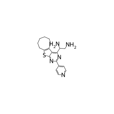 NCC(N)c1nc(-c2ccncc2)nc2sc3c(c12)CCCCCC3